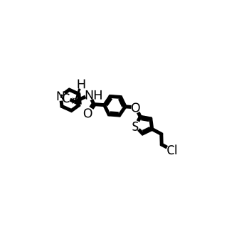 O=C(N[C@H]1CN2CCC1CC2)c1ccc(Oc2cc(CCCl)cs2)cc1